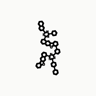 c1ccc(-c2ccc(-c3nc(-c4cccc(-c5cccc6c5oc5cc7cccc(-c8nc(-c9ccccc9)nc(-c9ccc%10ccccc%10c9)n8)c7cc56)c4)nc(-c4cccc5cc6c(cc45)oc4ccccc46)n3)cc2)cc1